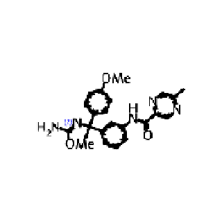 CO/C(N)=N\C(C)(c1ccc(OC)cc1)c1cccc(NC(=O)c2cnc(C)cn2)c1